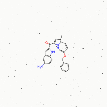 C=C(/C=C\c1[nH]c(C(=O)c2cc3cc(N)ccc3[nH]2)cc1C)OCc1ccccc1